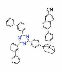 N#Cc1ccc2cc(-c3ccc(C45CC6CC(C4)CC(c4ccc(-c7nc(-c8cccc(-c9ccccc9)c8)nc(-c8cccc(-c9ccccc9)c8)n7)cc4)(C6)C5)cc3)ccc2c1